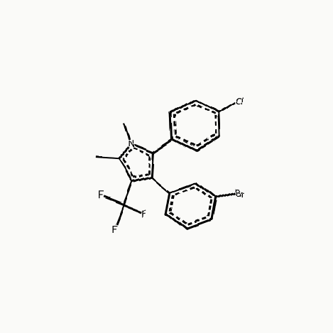 Cc1c(C(F)(F)F)c(-c2cccc(Br)c2)c(-c2ccc(Cl)cc2)n1C